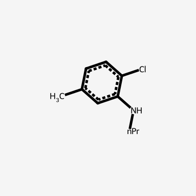 CCCNc1cc(C)ccc1Cl